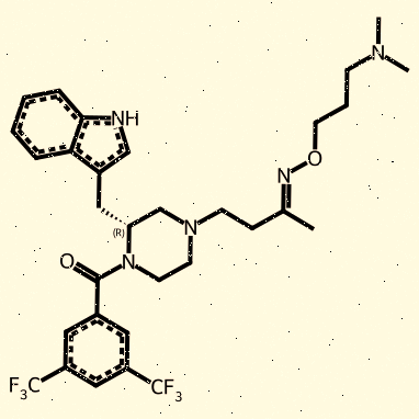 CC(CCN1CCN(C(=O)c2cc(C(F)(F)F)cc(C(F)(F)F)c2)[C@H](Cc2c[nH]c3ccccc23)C1)=NOCCCN(C)C